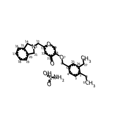 CCc1ccc(COc2coc(CN3Cc4ccccc4C3)cc2=O)cc1CC.N[SH](=O)=O